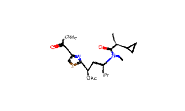 COC(=O)c1csc([C@@H](C[C@H](C(C)C)N(C)C(=O)[C@@H](C)C2CC2)OC(C)=O)n1